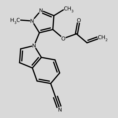 C=CC(=O)Oc1c(C)nn(C)c1-n1ccc2cc(C#N)ccc21